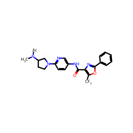 CC(=O)N(C)C1CCN(c2ccc(NC(=O)c3nc(-c4ccccc4)oc3C(F)(F)F)cn2)C1